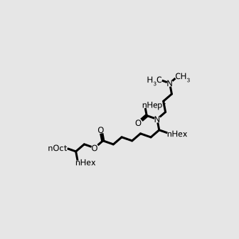 CCCCCCCCC(CCCCCC)COC(=O)CCCCCC(CCCCCC)N(CCCN(C)C)C(=O)CCCCCCC